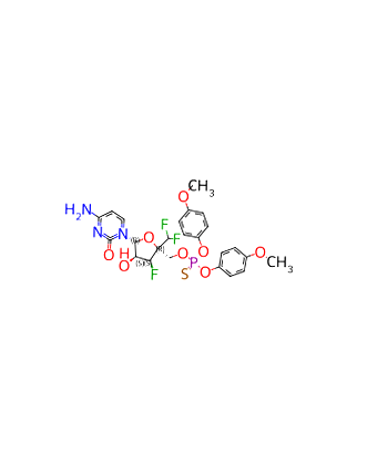 COc1ccc(OP(=S)(OC[C@@]2(C(F)F)O[C@@H](n3ccc(N)nc3=O)[C@H](O)[C@@H]2F)Oc2ccc(OC)cc2)cc1